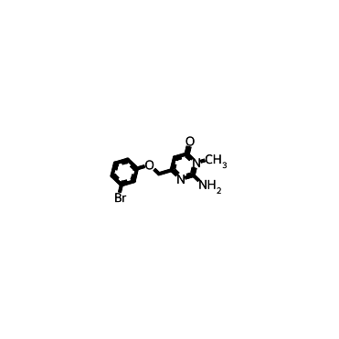 Cn1c(N)nc(COc2cccc(Br)c2)cc1=O